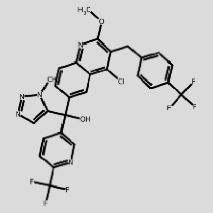 COc1nc2ccc(C(O)(c3ccc(C(F)(F)F)nc3)c3cnnn3C)cc2c(Cl)c1Cc1ccc(C(F)(F)F)cc1